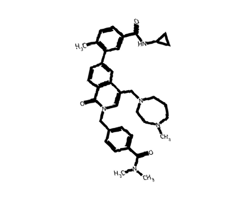 Cc1ccc(C(=O)NC2CC2)cc1-c1ccc2c(=O)n(Cc3ccc(C(=O)N(C)C)cc3)cc(CN3CCCN(C)CC3)c2c1